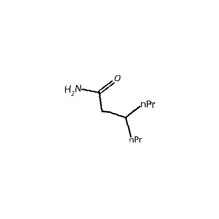 CCCC(CCC)CC(N)=O